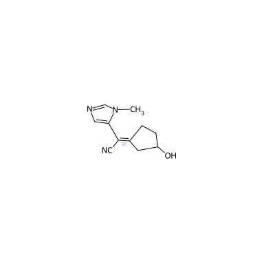 Cn1cncc1/C(C#N)=C1\CCC(O)C1